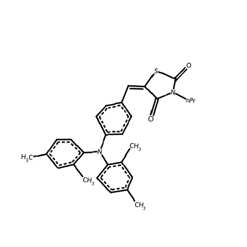 CCCN1C(=O)S/C(=C/c2ccc(N(c3ccc(C)cc3C)c3ccc(C)cc3C)cc2)C1=O